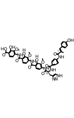 COc1c(NC(=O)c2ccc(NC(=O)c3ccc(NC(=O)[C@H](Cc4c[nH]nn4)NC(=O)c4ccc(NC(=O)/C(C)=C/c5ccc(O)cc5)cc4)c(OC)c3O)c(OC)c2O)ccc(C(=O)O)c1O